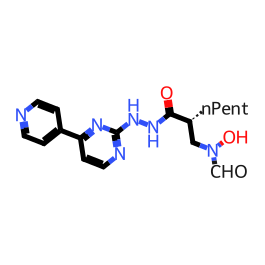 CCCCC[C@H](CN(O)C=O)C(=O)NNc1nccc(-c2ccncc2)n1